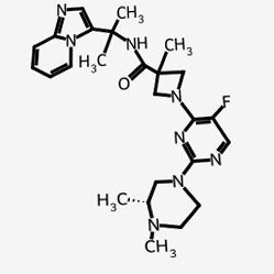 C[C@@H]1CN(c2ncc(F)c(N3CC(C)(C(=O)NC(C)(C)c4cnc5ccccn45)C3)n2)CCN1C